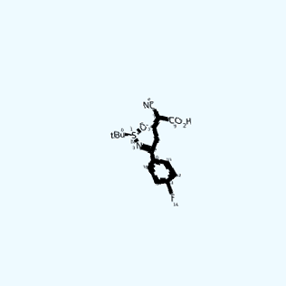 CC(C)(C)[S@@+]([O-])N=C(CCC(C#N)C(=O)O)c1ccc(F)cc1